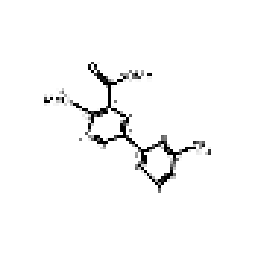 COC(=O)c1cc(-c2cccc(C(F)(F)F)c2)cnc1OC